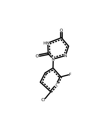 O=c1cnn(-c2ccc(Cl)cc2F)c(=O)[nH]1